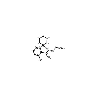 COCOCC(C)c1c(Br)cccc1C1(O)CCCOC1